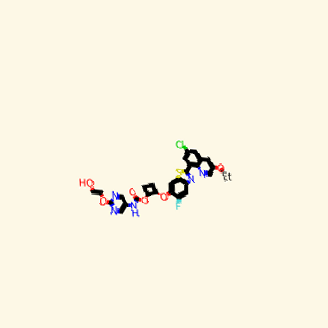 CCOc1cnc2c(-c3nc4cc(F)c(O[C@@H]5CC[C@@H]5OC(=O)Nc5cnc(OCCO)nc5)cc4s3)cc(Cl)cc2c1